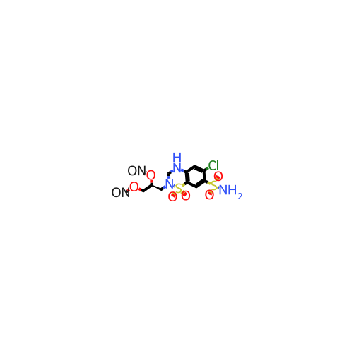 NS(=O)(=O)c1cc2c(cc1Cl)NCN(C[C@@H](CON=O)ON=O)S2(=O)=O